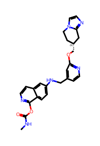 CNC(=O)Oc1nccc2cc(NCc3ccnc(OC[C@@H]4CCn5ccnc5C4)c3)ccc12